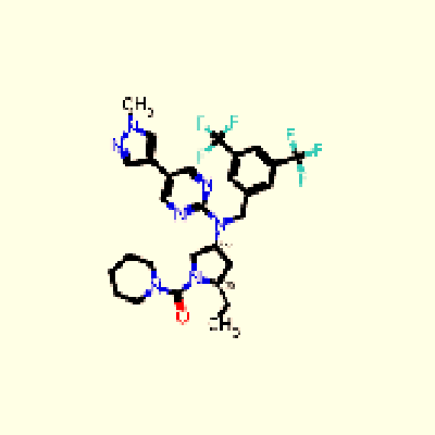 CC[C@@H]1C[C@H](N(Cc2cc(C(F)(F)F)cc(C(F)(F)F)c2)c2ncc(-c3cnn(C)c3)cn2)CN1C(=O)N1CCCCC1